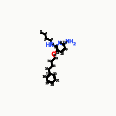 CCCCNc1nc(N)ccc1OCCCCc1ccccc1